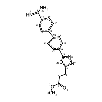 COC(=O)CCc1nnc(-c2ccc(-c3ccc(C(=N)N)cc3)cc2)o1